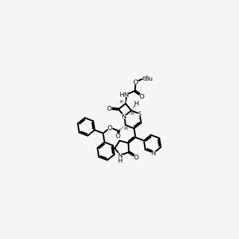 CC(C)(C)OC(=O)N[C@@H]1C(=O)N2[C@@H](C(=O)OC(c3ccccc3)c3ccccc3)C(C(=C3CCNC3=O)c3cccnc3)=CS[C@H]12